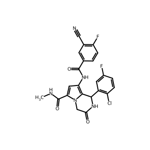 CNC(=O)c1cc(NC(=O)c2ccc(F)c(C#N)c2)c2n1CC(=O)NC2c1cc(F)ccc1Cl